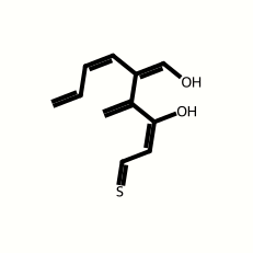 C=C/C=C\C(=C\O)C(=C)/C(O)=C\C=S